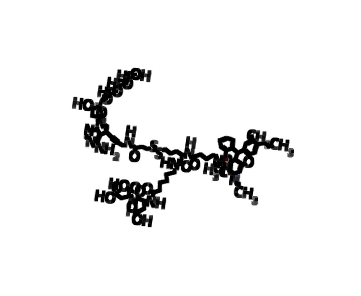 CCCc1cc2c(cc1C)C(c1ccccc1C(=O)N(C)CCCC(=O)NC(CCCSSCCC(=O)NCC#Cc1cn([C@H]3CC(O)[C@@H](COPOPOPO)O3)c3ncnc(N)c13)C(=O)NCCCCCC(=O)NC(CC(=O)O)C(=O)NC(CC(=O)O)C(=O)O)C1C=C(C)/C(=N/CC)C=C1O2